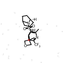 Cc1nc(C(F)(F)F)ccc1S(=O)(=O)N1C2CC[C@H]1C[C@H](NCC1(C)COC1)C2